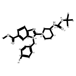 COC(=O)c1ccc2nc(N3CCCC(NC(=O)OC(C)(C)C)C3)n(Cc3ccc(F)cc3)c2c1